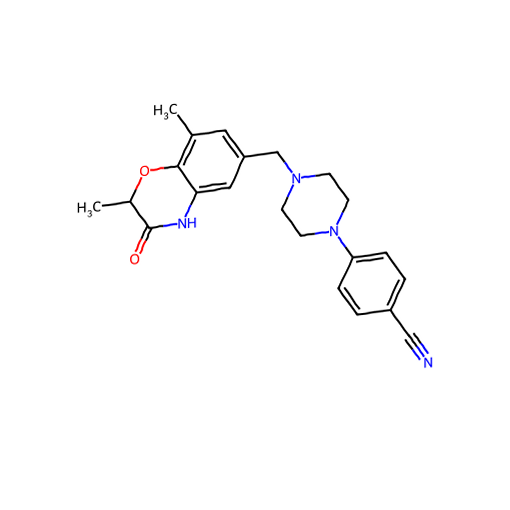 Cc1cc(CN2CCN(c3ccc(C#N)cc3)CC2)cc2c1OC(C)C(=O)N2